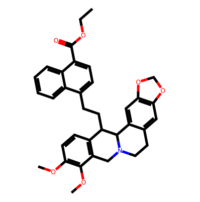 CCOC(=O)c1ccc(CCC2c3ccc(OC)c(OC)c3CN3CCc4cc5c(cc4C23)OCO5)c2ccccc12